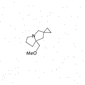 COCC12CCCN1CC1(CC1)C2